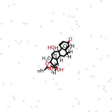 [2H]C1=C2C([2H])([2H])C[C@@H]3[C@H]([C@@H](O)C[C@@]4(C)[C@H]3C[C@H]3OC(CCC)O[C@]34C(=O)C([2H])([2H])O)[C@@]2(C)C=CC1=O